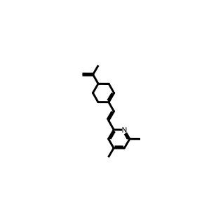 C=C(C)C1CC=C(C=Cc2cc(C)cc(C)n2)CC1